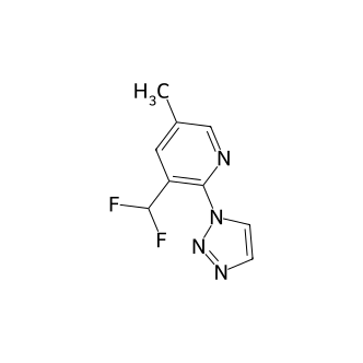 Cc1cnc(-n2ccnn2)c(C(F)F)c1